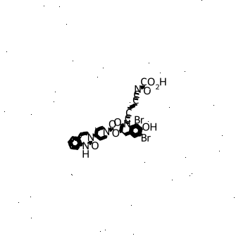 O=C(O)C(=O)N=C=C=CC=C=C=NC(=O)[C@@H](Cc1cc(Br)c(O)c(Br)c1)OC(=O)N1CCC(N2CCc3ccccc3NC2=O)CC1